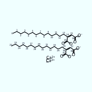 CCCCCCCCCCCCCCC(=CC(=O)[O-])C(=O)[O-].CCCCCCCCCCCCCCC(=CC(=O)[O-])C(=O)[O-].[Ca+2].[Ca+2]